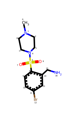 CN1CCN(S(=O)(=O)c2ccc(Br)cc2CN)CC1